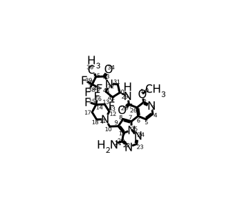 COc1nccc(-c2cc(CN3CCC(F)(F)CC3)c3c(N)ncnn23)c1C(=O)N[C@@H]1CN(C(=O)C(C)C(F)(F)F)C[C@@H]1F